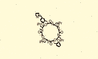 CC(C)CC1C(=O)O[C@H](Cc2cccc(Cn3cccn3)c2)C(=O)N(C)[C@@H](CC(C)C)C(=O)O[C@H](C)C(=O)N(C)[C@@H](CC(C)C)C(=O)O[C@H](Cc2ccccc2)C(=O)N(C)[C@@H](CC(C)C)C(=O)O[C@H](C)C(=O)N1C